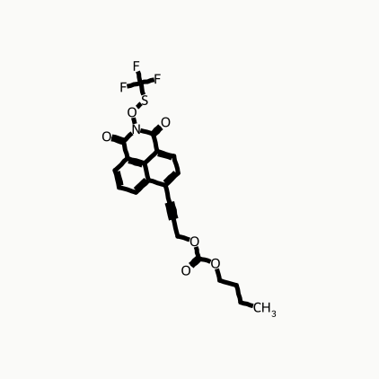 CCCCOC(=O)OCC#Cc1ccc2c3c(cccc13)C(=O)N(OSC(F)(F)F)C2=O